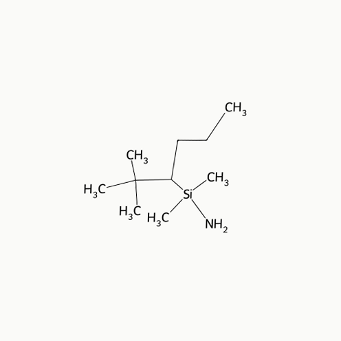 CCCC(C(C)(C)C)[Si](C)(C)N